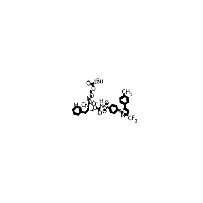 Cc1ccc(-c2cc(C(F)(F)F)nn2-c2ccc(S(=O)(=O)NC(=O)OC[C@H](Cc3ccccc3)N(C)/[N+]([O-])=N/OCOC(=O)C(C)(C)C)cc2)cc1